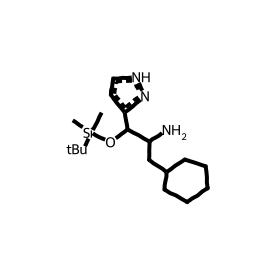 CC(C)(C)[Si](C)(C)OC(c1cc[nH]n1)C(N)CC1CCCCC1